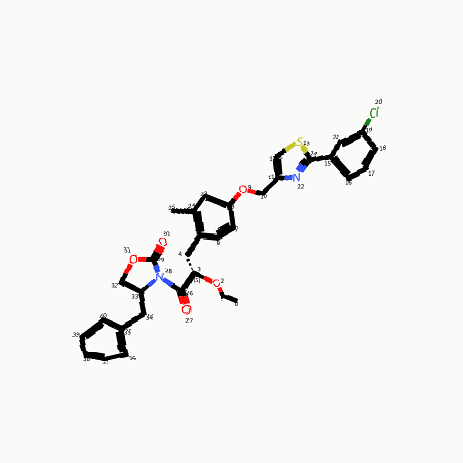 CCO[C@@H](Cc1ccc(OCc2csc(-c3cccc(Cl)c3)n2)cc1C)C(=O)N1C(=O)OCC1Cc1ccccc1